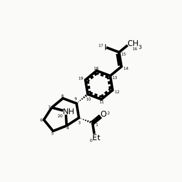 CCC(=O)[C@@H]1C2CCC(C[C@@H]1c1ccc(/C=C(/C)I)cc1)N2